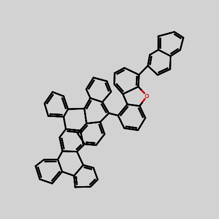 c1ccc(-c2c3ccccc3c(-c3cccc4oc5c(-c6ccc7ccccc7c6)cccc5c34)c3ccccc23)c(-c2ccc3c4ccccc4c4ccccc4c3c2)c1